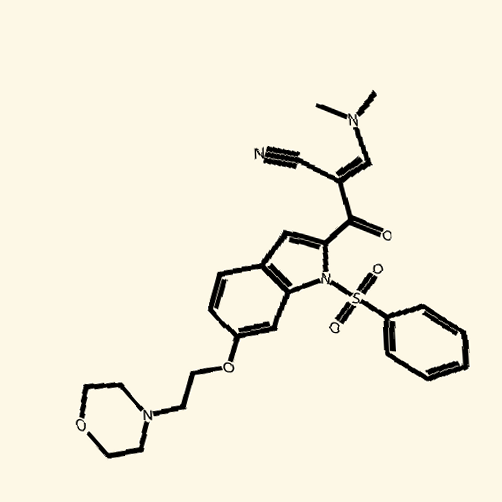 CN(C)C=C(C#N)C(=O)c1cc2ccc(OCCN3CCOCC3)cc2n1S(=O)(=O)c1ccccc1